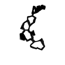 COc1ccc2c(c1)CCc1ncc(C3CCCCC3)nc1-2